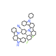 N#Cc1cc(-n2c3ccccc3c3ccc4c(c5ccccc5n4-c4ccccc4)c32)c(-c2cc(F)cc(F)c2)cc1-n1c2ccccc2c2ccc3[nH]c4ccccc4c3c21